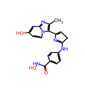 Cc1nc2cc(O)ccn2c1C1=CCC(Nc2ccc(C(=O)NO)cc2)=N1